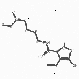 C=CC1=C(O)ON[C@@H]1C(=O)NCCCCN(C)CC